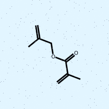 C=C(C)COC(=O)C(=C)C